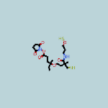 CCC(C)(CCC(=O)ON1C(=O)CCC1=O)OCCC(C)(CS)C(=O)NCCCOS